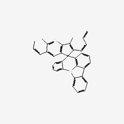 C=C/C=C\C1=C(C)c2nc(C)c(/C=C\C)cc2C12c1ccccc1-n1c3ccccc3c3cccc2c31